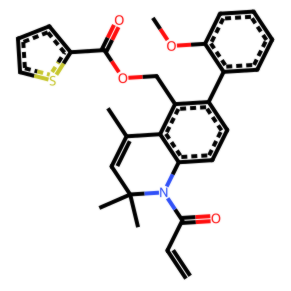 C=CC(=O)N1c2ccc(-c3ccccc3OC)c(COC(=O)c3cccs3)c2C(C)=CC1(C)C